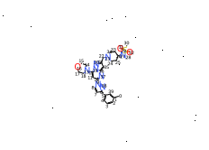 Cc1cccc(-c2ccn(-c3cc(N4CCOCC4)n4nc(CN5CCC(N(C)S(C)(=O)=O)CC5)cc4n3)n2)c1